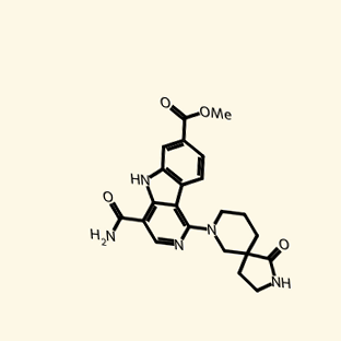 COC(=O)c1ccc2c(c1)[nH]c1c(C(N)=O)cnc(N3CCCC4(CCNC4=O)C3)c12